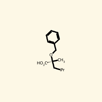 CC(C)C[C@](C)(OCc1ccccc1)C(=O)O